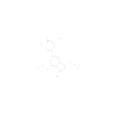 COc1cc(-c2cc(NS(C)(=O)=O)c3c(C(F)(F)F)nn(CC4CC4)c3c2)cn(C)c1=O